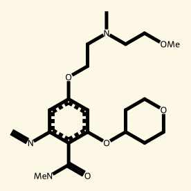 C=Nc1cc(OCCN(C)CCOC)cc(OC2CCOCC2)c1C(=O)NC